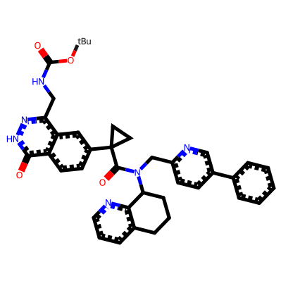 CC(C)(C)OC(=O)NCc1n[nH]c(=O)c2ccc(C3(C(=O)N(Cc4ccc(-c5ccccc5)cn4)C4CCCc5cccnc54)CC3)cc12